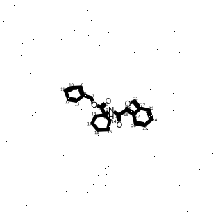 O=C(NC1(C(=O)OCc2ccccc2)CCCCC1)c1occ2ccccc12